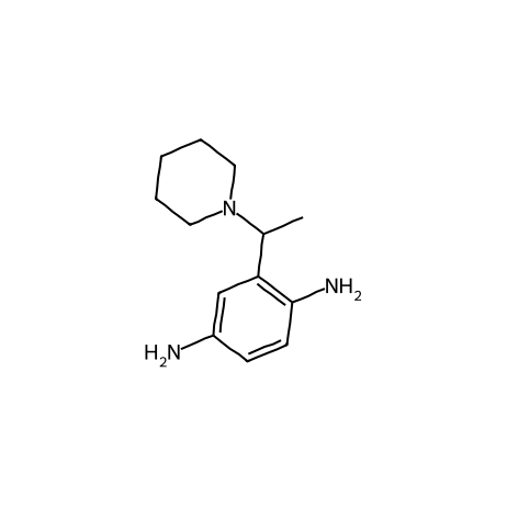 CC(c1cc(N)ccc1N)N1CCCCC1